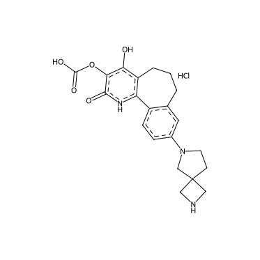 Cl.O=C(O)Oc1c(O)c2c([nH]c1=O)-c1ccc(N3CCC4(CNC4)C3)cc1CCC2